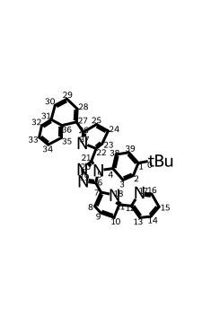 CC(C)(C)c1ccc(-n2c(-c3cccc(-c4ccccn4)n3)nnc2-c2cccc(-c3cccc4ccccc34)n2)cc1